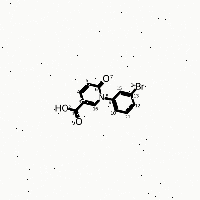 O=C(O)c1ccc(=O)n(-c2cccc(Br)c2)c1